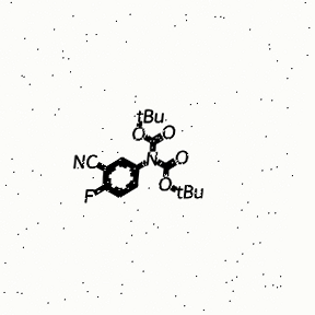 CC(C)(C)OC(=O)N(C(=O)OC(C)(C)C)c1ccc(F)c(C#N)c1